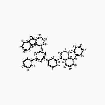 c1ccc(-c2nc(-c3cccc(-c4ccc5c6c(cccc46)-c4ccccc4-5)c3)nc(-c3cccc4oc5ccccc5c34)n2)cc1